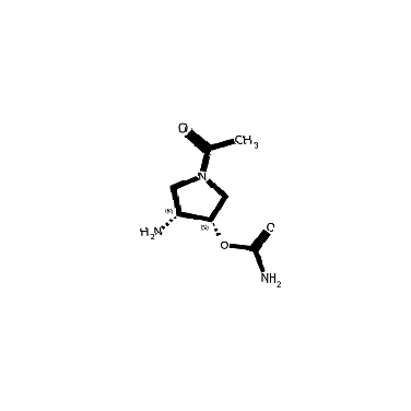 CC(=O)N1C[C@@H](N)[C@@H](OC(N)=O)C1